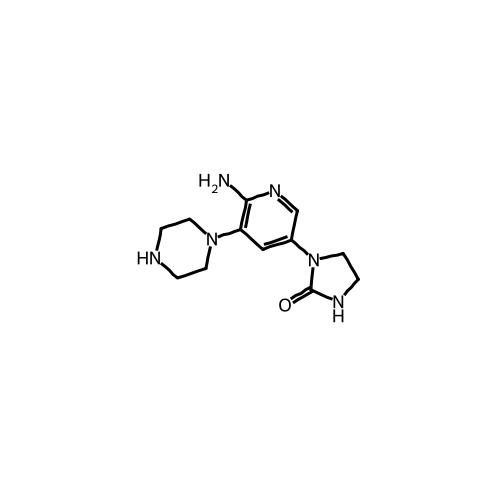 Nc1ncc(N2CCNC2=O)cc1N1CCNCC1